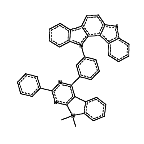 C[Si]1(C)c2ccccc2-c2c(-c3cccc(-n4c5ccccc5c5ccc6sc7ccccc7c6c54)c3)nc(-c3ccccc3)nc21